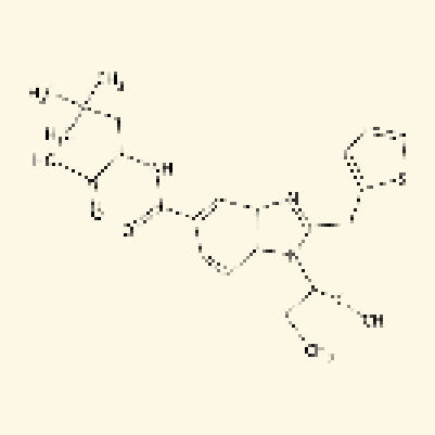 CCC(CC)n1c(Cc2cccs2)nc2cc(C(=O)NC(CC(C)(C)C)C(=O)O)ccc21